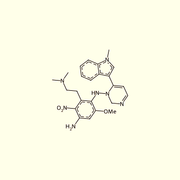 COc1cc(N)c([N+](=O)[O-])c(CCN(C)C)c1NN1CN=CC=C1c1cn(C)c2ccccc12